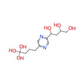 OCC(O)CC(O)c1cnc(CCCC(O)(O)O)cn1